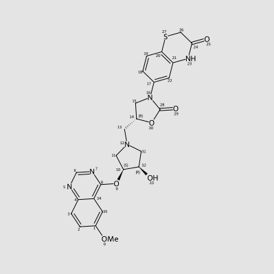 COc1ccc2ncnc(O[C@H]3CN(C[C@@H]4CN(c5ccc6c(c5)NC(=O)CS6)C(=O)O4)C[C@H]3O)c2c1